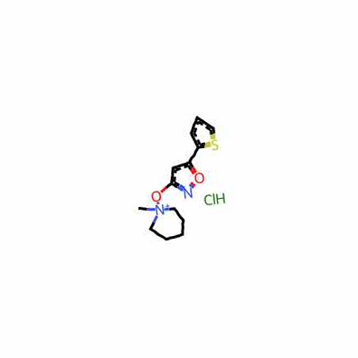 C[N+]1(Oc2cc(-c3cccs3)on2)CCCCC1.Cl